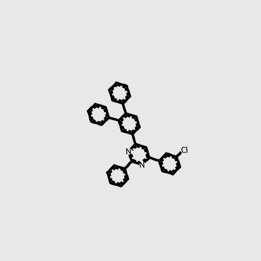 Clc1cccc(-c2cc(-c3ccc(-c4ccccc4)c(-c4ccccc4)c3)nc(-c3ccccc3)n2)c1